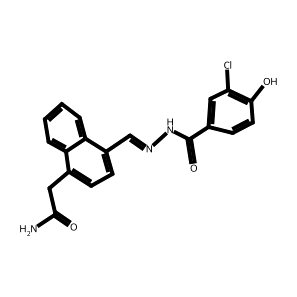 NC(=O)Cc1ccc(/C=N/NC(=O)c2ccc(O)c(Cl)c2)c2ccccc12